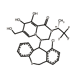 C[C@@H](N1CN(C2c3ccccc3SCc3cccc(Cl)c32)N2C=C(CO)C(O)C(O)=C2C1=O)C(F)(F)F